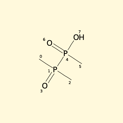 CP(C)(=O)P(C)(=O)O